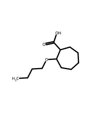 CCCCOC1CCCCCC1C(=O)O